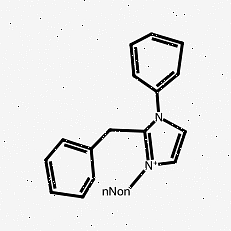 CCCCCCCCC[n+]1ccn(-c2ccccc2)c1Cc1ccccc1